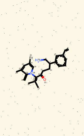 C=Cc1cccc(C(CN)CCC(=O)C(=C(C)C)N2C=C(CC)C=C(C)C2=C)c1